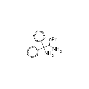 CCCC(N)C(N)(c1ccccc1)c1ccccc1